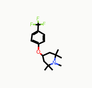 CN1C(C)(C)CC(Oc2ccc(C(F)(F)F)cc2)CC1(C)C